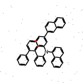 c1ccc(-c2ccccc2-c2ccccc2N(c2cccc(-c3ccc4ccccc4c3)c2)c2cccc3ccccc23)cc1